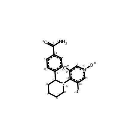 NC(=O)c1ccc(C2CCCCN2c2c(Cl)c[n+]([O-])cc2Cl)cc1